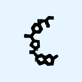 C=CC(=O)Nc1ccc(C(=O)N2CC[C@@H](Nc3ncc4ccc(C)cc4n3)C2)cc1